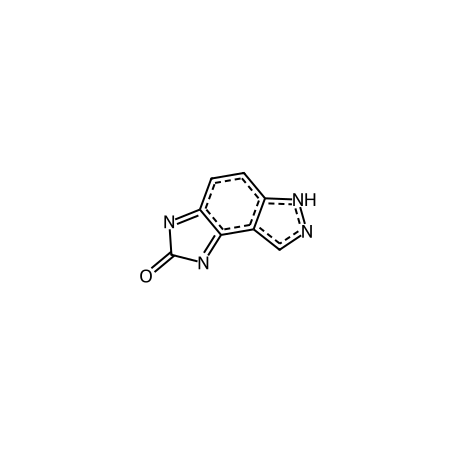 O=C1N=c2ccc3[nH]ncc3c2=N1